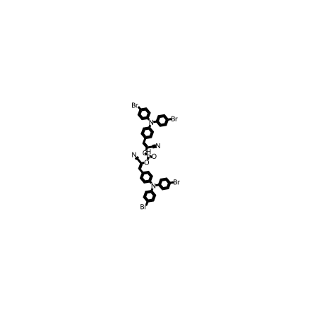 N#CC(=Cc1ccc(N(c2ccc(Br)cc2)c2ccc(Br)cc2)cc1)O[PH](=O)OC(C#N)=Cc1ccc(N(c2ccc(Br)cc2)c2ccc(Br)cc2)cc1